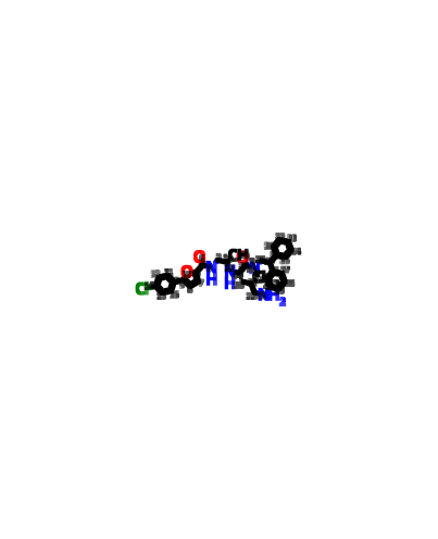 CC(CNC(=O)c1ccc(-c2ccc(Cl)cc2)o1)N[C@@H](CCCN)C(=O)N(C)CC(c1ccccc1)c1ccccc1